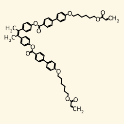 C=CC(=O)OCCCCCCOc1ccc(-c2ccc(C(=O)Oc3ccc(/C(C)=C(/C)c4ccc(OC(=O)c5ccc(-c6ccc(OCCCCCCOC(=O)C=C)cc6)cc5)cc4)cc3)cc2)cc1